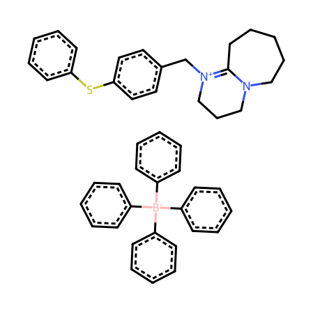 c1ccc(Sc2ccc(C[N+]3=C4CCCCCN4CCC3)cc2)cc1.c1ccc([B-](c2ccccc2)(c2ccccc2)c2ccccc2)cc1